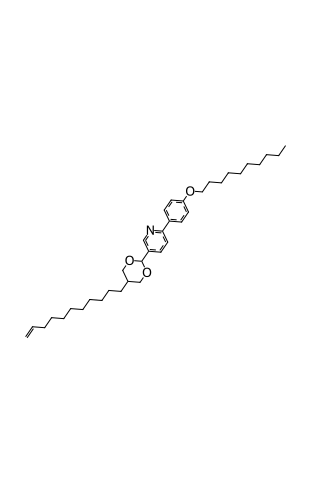 C=CCCCCCCCCCC1COC(c2ccc(-c3ccc(OCCCCCCCCCC)cc3)nc2)OC1